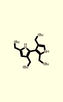 CC(C)(C)Cc1cc(CC(C)(C)C)c(-c2c(CC(C)(C)C)c[nH]c2CC(C)(C)C)[nH]1